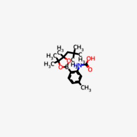 Cc1ccc(B2OC(C)(C)C(C)(CC(C)(C)C)O2)c(NC(=O)O)c1